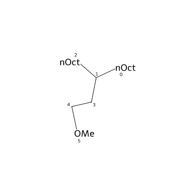 CCCCCCCCC(CCCCCCCC)CCOC